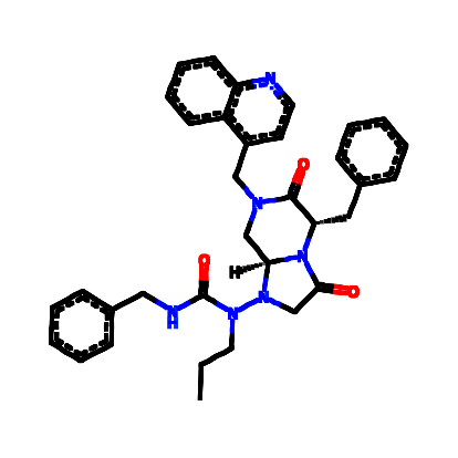 CCCN(C(=O)NCc1ccccc1)N1CC(=O)N2[C@@H](Cc3ccccc3)C(=O)N(Cc3ccnc4ccccc34)C[C@@H]21